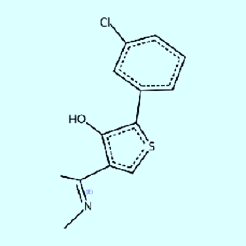 C/N=C(\C)c1csc(-c2cccc(Cl)c2)c1O